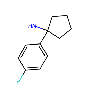 [NH]C1(c2ccc(F)cc2)CCCC1